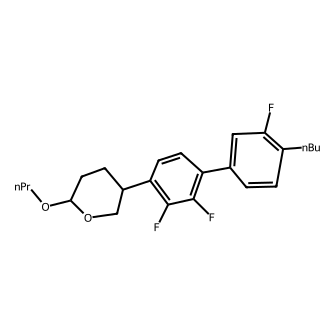 CCCCc1ccc(-c2ccc(C3CCC(OCCC)OC3)c(F)c2F)cc1F